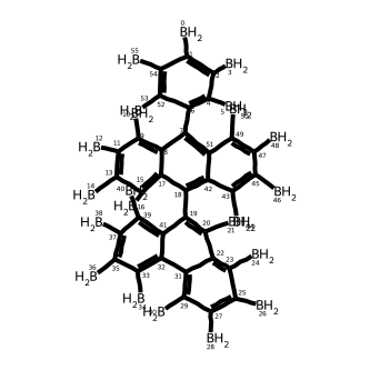 Bc1c(B)c(B)c(-c2c3c(B)c(B)c(B)c(B)c3c(-c3c(B)c4c(B)c(B)c(B)c(B)c4c4c(B)c(B)c(B)c(B)c34)c3c(B)c(B)c(B)c(B)c23)c(B)c1B